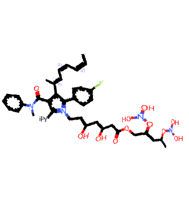 C\C=C/C=C\C=C(/C)c1c(C(=O)N(C)c2ccccc2)c(C(C)C)n(CCC(O)CC(O)CC(=O)OCC(CC(C)ON(O)O)ON(O)O)c1-c1ccc(F)cc1